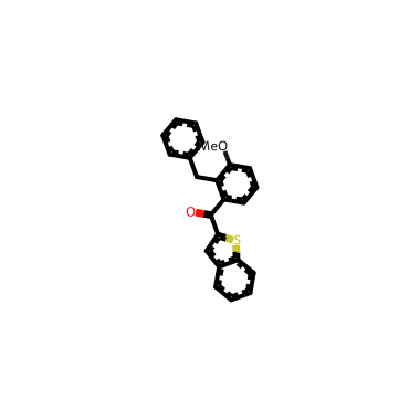 COc1cccc(C(=O)c2cc3ccccc3s2)c1Cc1ccccc1